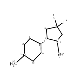 CCCN1CC(F)(F)C[C@H]1C1CCN(C)CC1